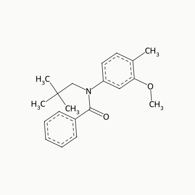 COc1cc(N(CC(C)(C)C)C(=O)c2ccccc2)ccc1C